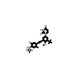 COc1c(C#Cc2cc(F)c(NS(C)(=O)=O)cc2C)cc(-n2ccc(=O)[nH]c2=O)cc1C(C)(C)C